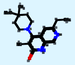 COC1(C)CCN(c2c(C#N)c(=O)[nH]c3cnc(COC(C)=O)cc23)CC1